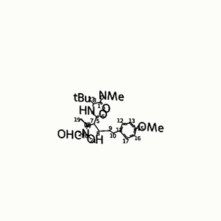 CNC(=O)C(NC(=O)C(CCCc1ccc(OC)cc1)[C@H](C)N(O)C=O)C(C)(C)C